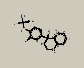 NC1(c2ccc(OC(F)(F)F)c(F)c2)CCOc2cccnc21